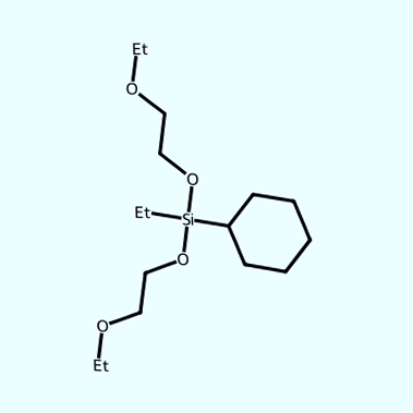 CCOCCO[Si](CC)(OCCOCC)C1CCCCC1